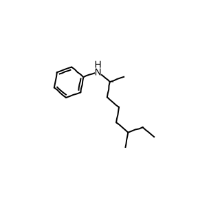 CCC(C)CCC[C](C)Nc1ccccc1